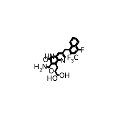 NC(=O)c1c(CCC(O)O)c2ncc(Cc3c(C(F)(F)F)cc(F)c4ccccc34)cc2[nH]c1=O